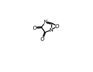 O=c1nc2on-2c1=O